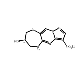 CCOC(=O)c1cnn2cc3c(nc12)NC[C@@H](O)CO3